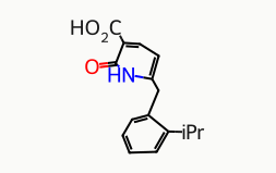 CC(C)c1ccccc1Cc1ccc(C(=O)O)c(=O)[nH]1